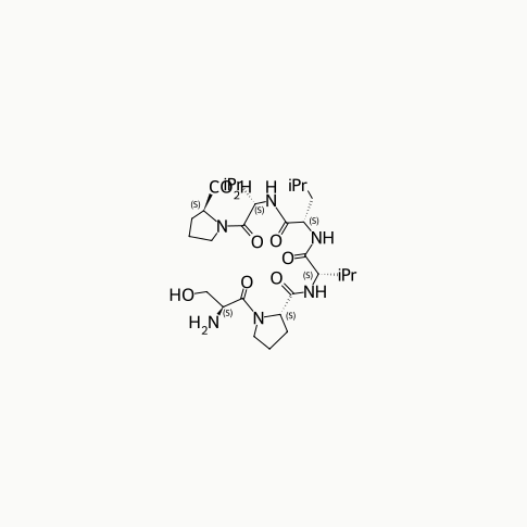 CC(C)C[C@H](NC(=O)[C@@H](NC(=O)[C@@H]1CCCN1C(=O)[C@@H](N)CO)C(C)C)C(=O)N[C@H](C(=O)N1CCC[C@H]1C(=O)O)C(C)C